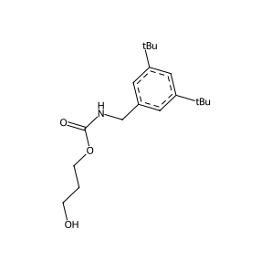 CC(C)(C)c1cc(CNC(=O)OCCCO)cc(C(C)(C)C)c1